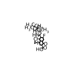 C[C@@H](CC(=N)c1c(F)cc2c(=O)c(C(=O)O)cn(C3CC3)c2c1Cl)NC(=O)OC(C)(C)C